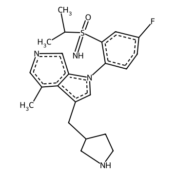 Cc1cncc2c1c(CC1CCNC1)cn2-c1ccc(F)cc1S(=N)(=O)C(C)C